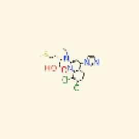 CCN(c1cc(-n2ccnc2)c2ccc(Cl)c(Cl)c2n1)[C@@H](CCSC)C(=O)O